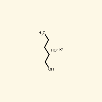 CCCCCO.[K+].[OH-]